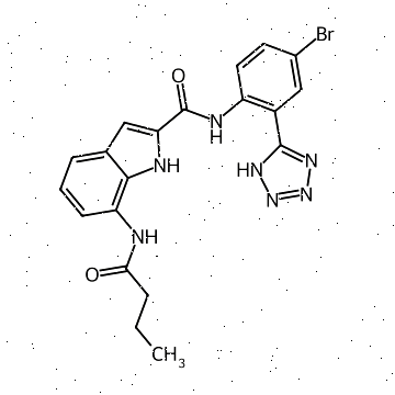 CCCC(=O)Nc1cccc2cc(C(=O)Nc3ccc(Br)cc3-c3nnn[nH]3)[nH]c12